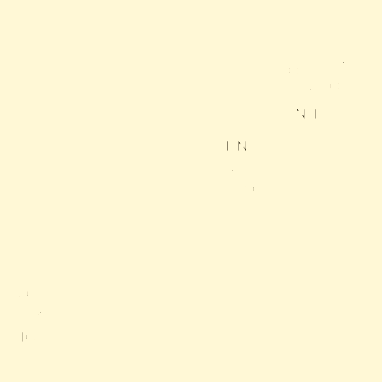 CC(C)(C)OC(=O)NCCNC(=O)CCCCCCCCCCC(=O)O